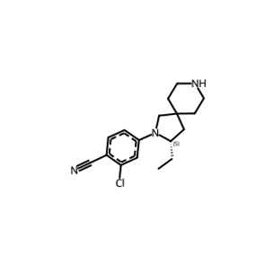 CC[C@H]1CC2(CCNCC2)CN1c1ccc(C#N)c(Cl)c1